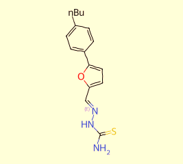 CCCCc1ccc(-c2ccc(/C=N/NC(N)=S)o2)cc1